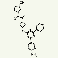 CN(C(=O)N1CC[C@H](O)C1)[C@H]1C[C@H](Oc2cc(-c3cnc(N)nc3)nc(N3CCOCC3)n2)C1